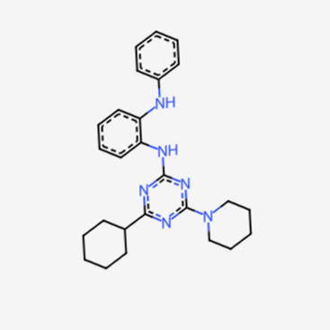 c1ccc(Nc2ccccc2Nc2nc(C3CCCCC3)nc(N3CCCCC3)n2)cc1